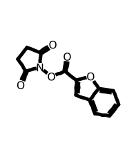 O=C(ON1C(=O)CCC1=O)c1cc2ccccc2o1